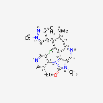 CCc1cncc(F)c1-n1c(=O)n(C)c2cnc3cc(NC)c(-c4cn(CC)nc4C)cc3c21